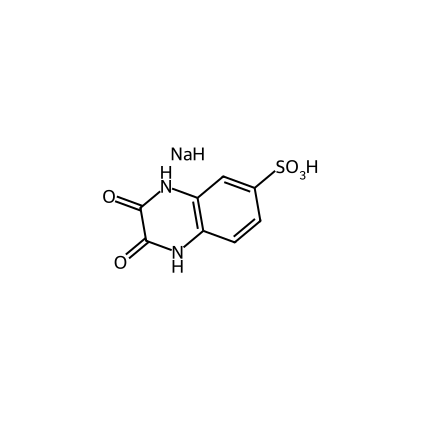 O=c1[nH]c2ccc(S(=O)(=O)O)cc2[nH]c1=O.[NaH]